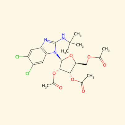 CC(=O)OC[C@@H]1O[C@H](n2c(NC(C)(C)C)nc3cc(Cl)c(Cl)cc32)[C@@H](OC(C)=O)[C@H]1OC(C)=O